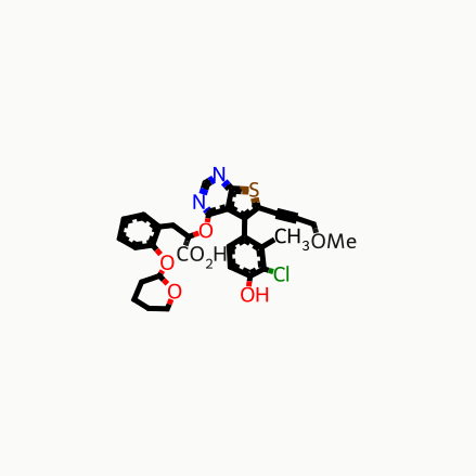 COCC#Cc1sc2ncnc(OC(Cc3ccccc3OC3CCCCO3)C(=O)O)c2c1-c1ccc(O)c(Cl)c1C